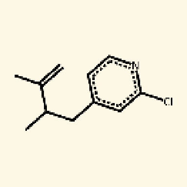 C=C(C)C(C)Cc1ccnc(Cl)c1